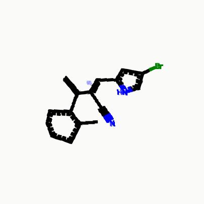 C=C(/C(C#N)=C/c1cc(Br)c[nH]1)c1ccccc1C